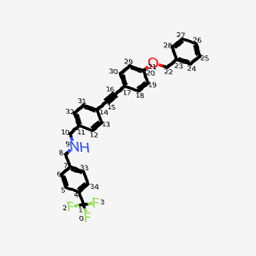 FC(F)(F)c1ccc(CNCc2ccc(C#Cc3ccc(OCc4ccccc4)cc3)cc2)cc1